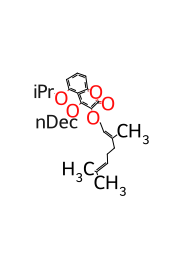 CCCCCCCCCCOc1c(OC/C=C(\C)CCC=C(C)C)c(=O)oc2cccc(OC(C)C)c12